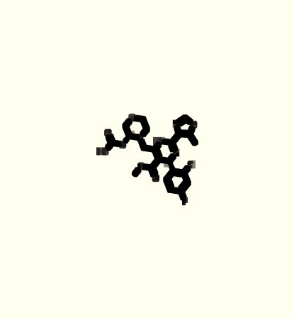 COC(=O)C1=C(CN2CCOC[C@@H]2OC(=O)O)NC(c2ncoc2C)=N[C@H]1c1ccc(F)cc1Cl